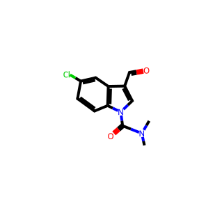 CN(C)C(=O)n1cc(C=O)c2cc(Cl)ccc21